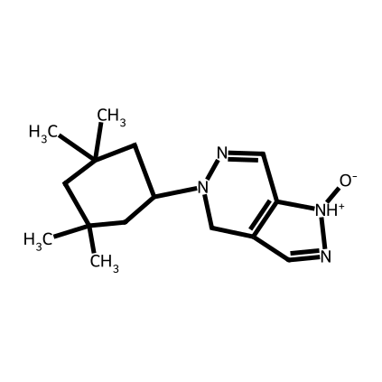 CC1(C)CC(N2CC3=C(C=N2)[NH+]([O-])N=C3)CC(C)(C)C1